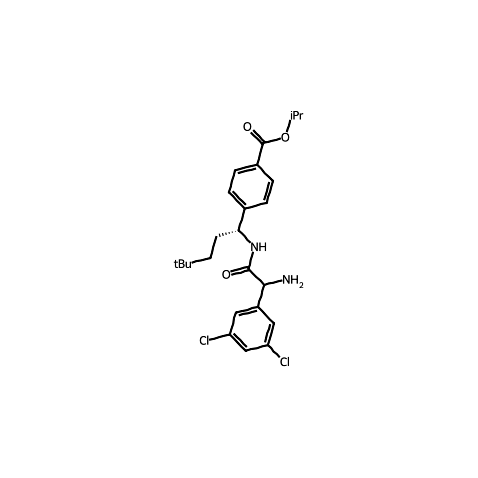 CC(C)OC(=O)c1ccc([C@@H](CCC(C)(C)C)NC(=O)C(N)c2cc(Cl)cc(Cl)c2)cc1